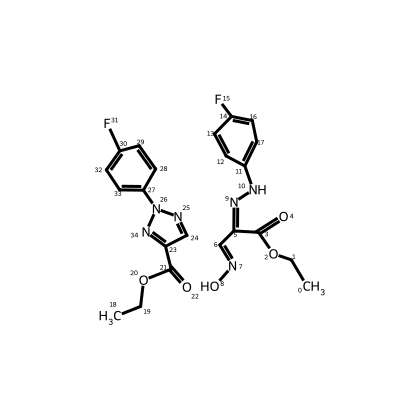 CCOC(=O)C(C=NO)=NNc1ccc(F)cc1.CCOC(=O)c1cnn(-c2ccc(F)cc2)n1